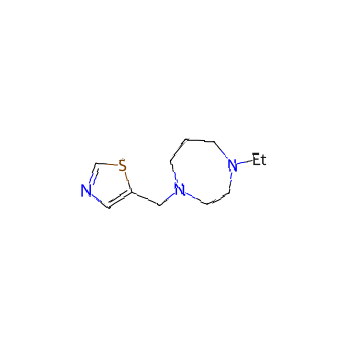 CCN1CCCN(Cc2cncs2)CC1